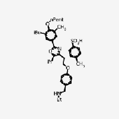 CCCCCOc1c(C)cc(-c2nc(CCOc3ccc(CNCC)cc3)c(C(C)C)o2)cc1C(C)CC.Cc1ccc(S(=O)(=O)O)cc1